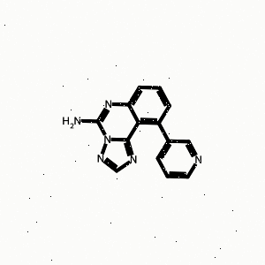 Nc1nc2cccc(-c3cccnc3)c2c2ncnn12